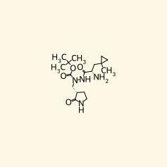 CC1(C[C@H](N)C(=O)NN(C[C@@H]2CCNC2=O)C(=O)OC(C)(C)C)CC1